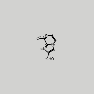 O=Cc1cn2ccnc(Cl)c2n1